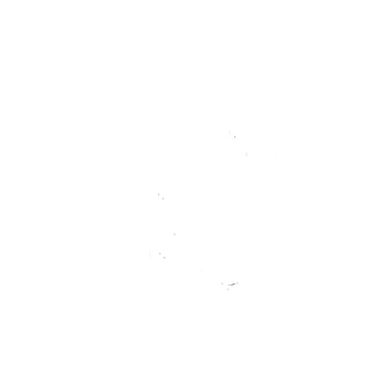 COC1OCC[C@@H]1NC(=O)[C@H](CC(C)C)NC(=O)[C@H](CC(C)C)NC(=O)c1ccc2c(c1)N(C(C)=O)c1ccccc1CC2